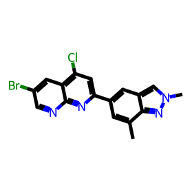 Cc1cc(-c2cc(Cl)c3cc(Br)cnc3n2)cc2cn(C)nc12